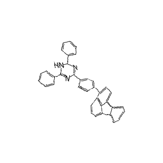 c1ccc(C2=NC(c3ccc(-c4ccc5c6c(cccc46)-c4ccccc4-5)cc3)=NC(c3ccccc3)N2)cc1